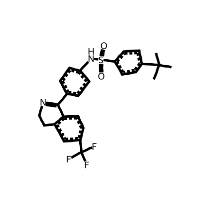 CC(C)(C)c1ccc(S(=O)(=O)Nc2ccc(C3=NCCc4cc(C(F)(F)F)ccc43)cc2)cc1